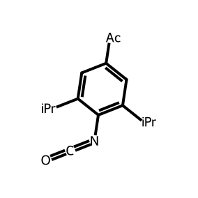 CC(=O)c1cc(C(C)C)c(N=C=O)c(C(C)C)c1